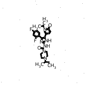 CCC(C)N1CCN(C(=O)Nc2nc(-c3ccc(F)cc3F)c(-c3ccc(=O)n(C(C)C)c3)[nH]2)CC1